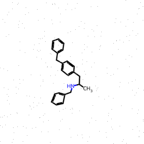 CC(Cc1ccc(Cc2ccccc2)cc1)NCc1ccccc1